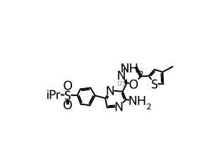 C=C(O/C(=N\N)c1nc(-c2ccc(S(=O)(=O)C(C)C)cc2)cnc1N)c1cc(C)cs1